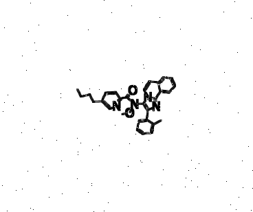 CCCCc1ccc(C(=O)N(OC)c2c(-c3ccccc3C)nc3c4ccccc4ccn23)nc1